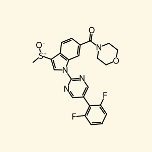 C[S+]([O-])c1cn(-c2ncc(-c3c(F)cccc3F)cn2)c2cc(C(=O)N3CCOCC3)ccc12